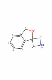 c1ccc2c(c1)COC21CNC1